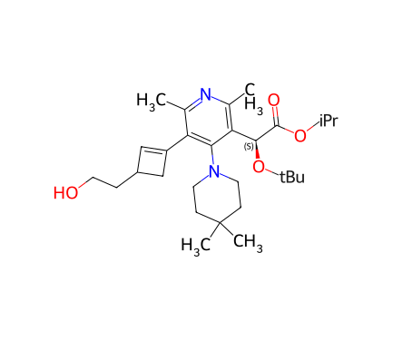 Cc1nc(C)c([C@H](OC(C)(C)C)C(=O)OC(C)C)c(N2CCC(C)(C)CC2)c1C1=CC(CCO)C1